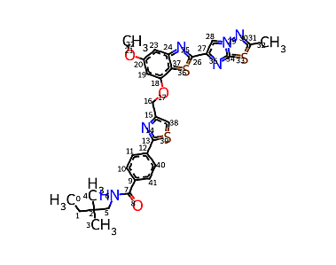 CCC(C)(C)CNC(=O)c1ccc(-c2nc(COc3cc(OC)cc4nc(-c5cn6nc(C)sc6n5)sc34)cs2)cc1